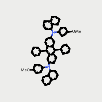 COc1ccc(N(c2ccc3c(-c4ccccc4)c4cc(N(c5ccc(OC)cc5)c5cccc6ccccc56)ccc4c(-c4ccccc4)c3c2)c2cccc3ccccc23)cc1